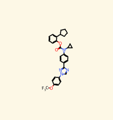 O=C(Oc1ccccc1C1CCCC1)N(c1ccc(-c2ncn(-c3ccc(OC(F)(F)F)cc3)n2)cc1)C1CC1